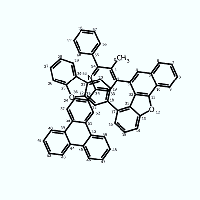 Cc1c(-c2cc3ccccc3c3oc4cccc(-c5ccc6c(c5)oc5ccccc56)c4c23)cc(-c2ccc3c4ccccc4c4ccccc4c3c2)nc1-c1ccccc1